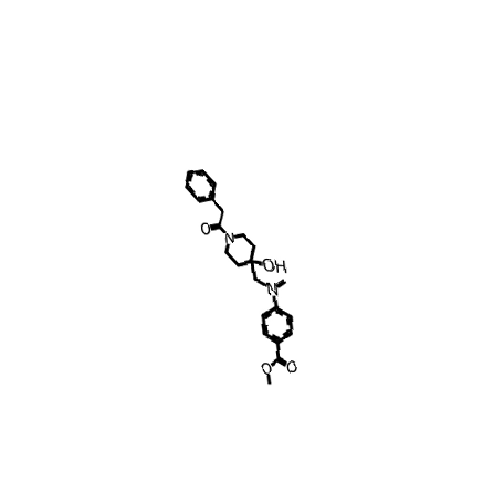 COC(=O)c1ccc(N(C)CC2(O)CCN(C(=O)Cc3ccccc3)CC2)cc1